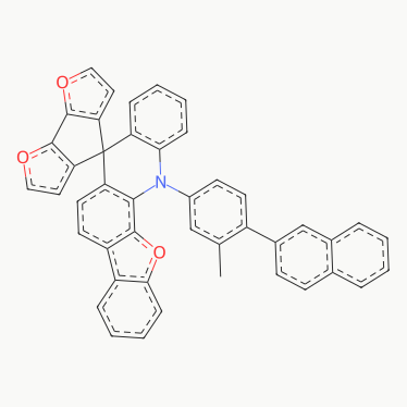 Cc1cc(N2c3ccccc3C3(c4ccoc4-c4occc43)c3ccc4c(oc5ccccc54)c32)ccc1-c1ccc2ccccc2c1